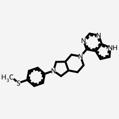 CSc1ccc(N2CC3CCN(c4ncnc5[nH]ccc45)CC3C2)cc1